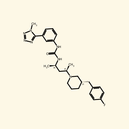 C[C@H](C[C@@H](C)N1CCC[C@@H](Cc2ccc(F)cc2)C1)NC(=O)Nc1cccc(-c2nnnn2C)c1